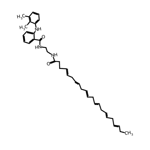 CCC=CCC=CCC=CCC=CCC=CCC=CCCC(=O)NCCNC(=O)c1ccccc1Nc1cccc(C)c1C